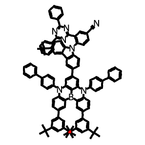 CC(C)(C)c1cc(-c2ccc3c(c2)B2c4cc(-c5cc(C(C)(C)C)cc(C(C)(C)C)c5)ccc4N(c4ccc(-c5ccccc5)cc4)c4cc(-c5ccc6c(c5)c5cc(C(C)(C)C)ccc5n6-c5ccc(C#N)cc5-c5nc(-c6ccccc6)nc(-c6ccccc6)n5)cc(c42)N3c2ccc(-c3ccccc3)cc2)cc(C(C)(C)C)c1